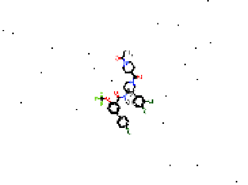 CC(=O)N1CCC(C(=O)N2CC[C@@H](N(C)C(=O)c3cc(-c4ccc(Cl)cc4)ccc3OC(F)(F)F)[C@H](c3ccc(Cl)c(Cl)c3)C2)CC1